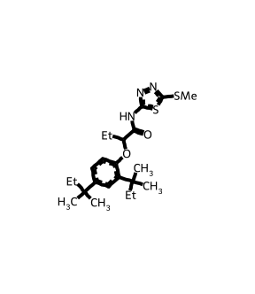 CCC(Oc1ccc(C(C)(C)CC)cc1C(C)(C)CC)C(=O)Nc1nnc(SC)s1